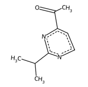 CC(=O)c1ccnc(C(C)C)n1